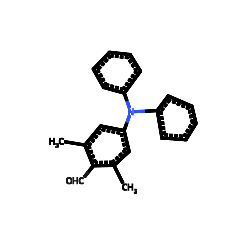 Cc1cc(N(c2ccccc2)c2ccccc2)cc(C)c1C=O